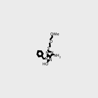 COCCOCCSc1nc(N)c2nc(O)n(Cc3ccccc3)c2n1